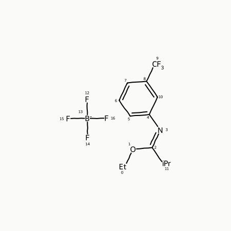 CCOC(=Nc1cccc(C(F)(F)F)c1)C(C)C.F[B-](F)(F)F